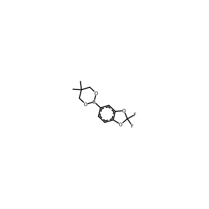 CC1(C)COB(c2ccc3c(c2)OC(F)(F)O3)OC1